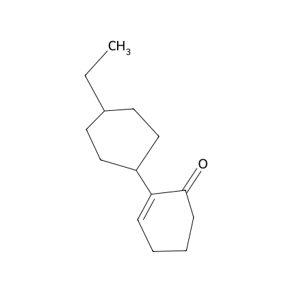 CCC1CCC(C2=CCCCC2=O)CC1